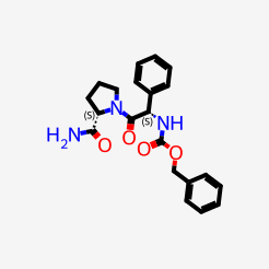 NC(=O)[C@@H]1CCCN1C(=O)[C@@H](NC(=O)OCc1ccccc1)c1ccccc1